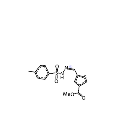 COC(=O)c1csc(/C=N\NS(=O)(=O)c2ccc(C)cc2)c1